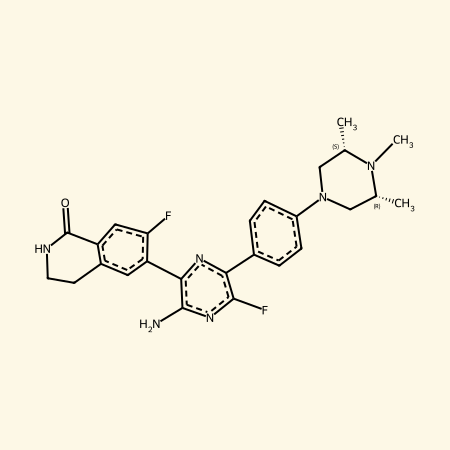 C[C@@H]1CN(c2ccc(-c3nc(-c4cc5c(cc4F)C(=O)NCC5)c(N)nc3F)cc2)C[C@H](C)N1C